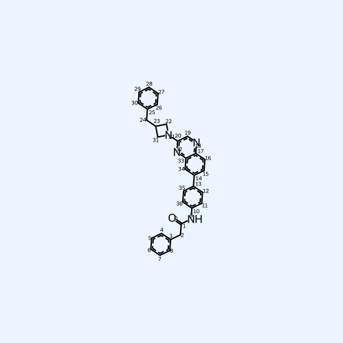 O=C(Cc1ccccc1)Nc1ccc(-c2ccc3ncc(N4CC(Cc5ccccc5)C4)nc3c2)cc1